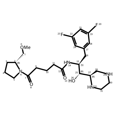 COC[C@H]1CCCN1C(=O)CCCC(=O)N[C@@H](Cc1cc(F)cc(F)c1)[C@@H](O)[C@H]1CNCCN1